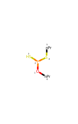 CCCOP(S)SCCC